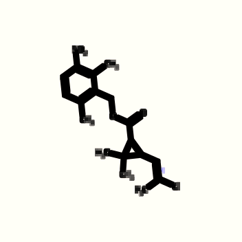 Cc1ccc([N+](=O)[O-])c(C)c1COC(=O)C1C(/C=C(/Cl)C(F)(F)F)C1(C)C